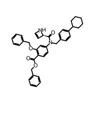 O=C(OCc1ccccc1)c1ccc(N(Cc2ccc(C3CCCCC3)cc2)C(=O)[C@H]2C=CN2)cc1OCc1ccccc1